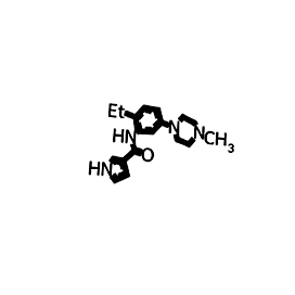 CCc1ccc(N2CCN(C)CC2)cc1NC(=O)c1cc[nH]c1